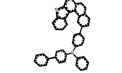 c1ccc(-c2ccc(N(c3ccccc3)c3ccc(-c4ccc5ccc6ccc7sc8ccccc8c7c6c5c4)cc3)cc2)cc1